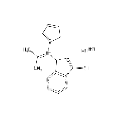 CC1=C[CH]([Hf]([C]2=CC=CC2)=[C](C)C)c2ccccc21.Cl.Cl